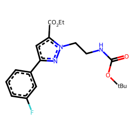 CCOC(=O)c1cc(-c2cccc(F)c2)nn1CCNC(=O)OC(C)(C)C